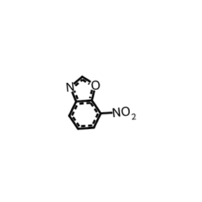 O=[N+]([O-])c1cccc2ncoc12